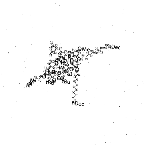 CCCCCCCCCCCCCCCCCCCCCCOc1ccc(C(NC(=O)[C@H](CCCc2cc(C)cc(C)c2)NC(=O)[C@H](Cc2ccc(-c3ccc(OCCCCN=[N+]=[N-])cc3CC)cc2)NC(=O)[C@H](CC(=O)OC(C)(C)C)NC(=O)[C@H](COC(C)(C)C)OC(=O)[C@@H](N)[C@@H](C)OC(C)(C)C)c2ccc(OC)cc2)c(OCCCCCCCCCCCCCCCCCCCCCC)c1